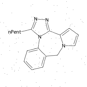 CCCCCc1nnc2n1-c1ccccc1Cn1cccc1-2